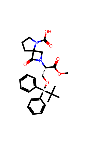 COC(=O)[C@H](CO[Si](c1ccccc1)(c1ccccc1)C(C)(C)C)N1CC2(CCCN2C(=O)O)C1=O